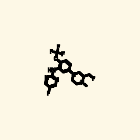 CN1CCN(c2ccc(OC(F)(F)F)c(Nc3ncc(F)cn3)c2)CC1CF